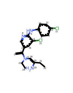 C=C(c1cnc(Nc2ccc(Cl)cc2)c(Cl)c1)N(/C=C(\N)CC)CC